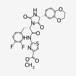 COC(=O)c1csc(NC(=O)[C@H](Cc2ccc(F)c(F)c2)N2C(=O)N[C@H](c3ccc4c(c3)OCCO4)C2=O)n1